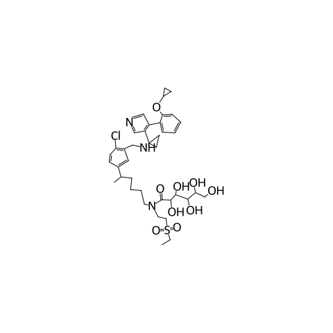 CCS(=O)(=O)CCN(CCCCC(C)c1ccc(Cl)c(CNC2(c3cnccc3-c3ccccc3OC3CC3)CC2)c1)C(=O)C(O)C(O)C(O)C(O)CO